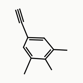 [C]#Cc1cc(C)c(C)c(C)c1